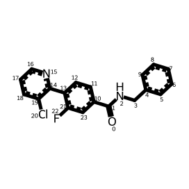 O=C(NCc1ccccc1)c1ccc(-c2ncccc2Cl)c(F)c1